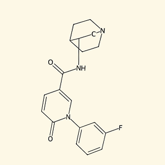 O=C(NC1CN2CCC1CC2)c1ccc(=O)n(-c2cccc(F)c2)c1